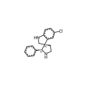 Clc1ccc2c(c1)[C@@]1(CCN[C@H]1c1ccccc1)CN2